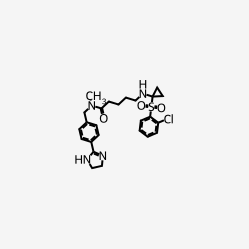 CN(Cc1ccc(C2=NCCN2)cc1)C(=O)CCCCNC1(S(=O)(=O)c2ccccc2Cl)CC1